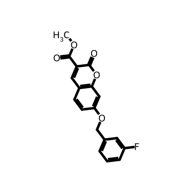 COC(=O)c1cc2ccc(OCc3cccc(F)c3)cc2oc1=O